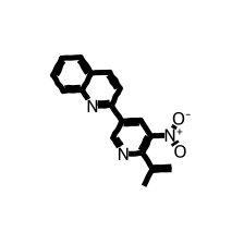 C=C(C)c1ncc(-c2ccc3ccccc3n2)cc1[N+](=O)[O-]